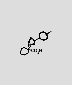 O=C(O)C1(n2ccc(-c3ccc(F)cc3)c2)CCCCC1